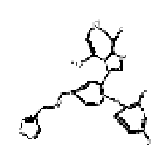 Cc1c[nH]c(=O)c2[nH]cc(-c3cc(CNCc4ccoc4)ccc3Oc3ccc(F)cc3F)c12